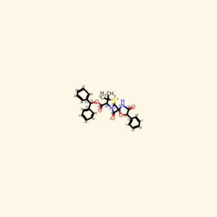 CC1(C)SC2N(C(=O)C23NC(=O)C(c2ccccc2)O3)C1C(=O)OC(c1ccccc1)c1ccccc1